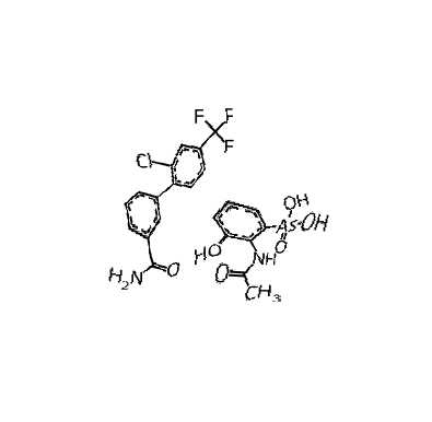 CC(=O)Nc1c(O)cccc1[As](=O)(O)O.NC(=O)c1cccc(-c2ccc(C(F)(F)F)cc2Cl)c1